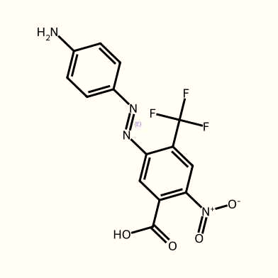 Nc1ccc(/N=N/c2cc(C(=O)O)c([N+](=O)[O-])cc2C(F)(F)F)cc1